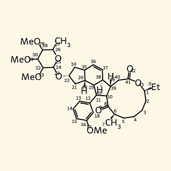 CC[C@H]1CCCC[C@@H](C)C(=O)C2C(c3cccc(OC)c3)C3[C@@H]4C[C@H](OC5OC(C)C(OC)C(OC)C5OC)CC4C=C[C@H]3[C@@H]2CC(=O)O1